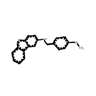 COc1ccc(CNc2ccc3sc4ccccc4c3c2)cc1